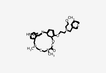 COCCN(CCOC1=CC=C2CC1OCC(=O)N(C)CCCN(C)Cc1c[nH]c3c1/C(=N/2)N=CN3)Cc1ccccc1